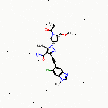 C=CC(=O)N1C[C@@H](n2nc(C#Cc3cc4ncn(C)c4cc3F)c(C(N)=O)c2NC)C[C@@H]1COC(F)(F)F